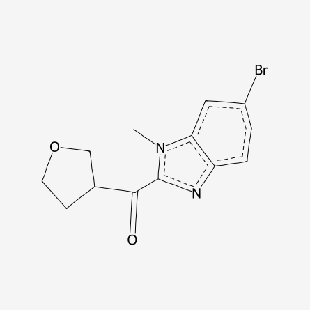 Cn1c(C(=O)C2CCOC2)nc2ccc(Br)cc21